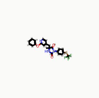 CC1(Cc2ccnc(Oc3ccccc3)c2)NC(=O)N(c2ccc(SC(F)(F)F)cc2)C1=O